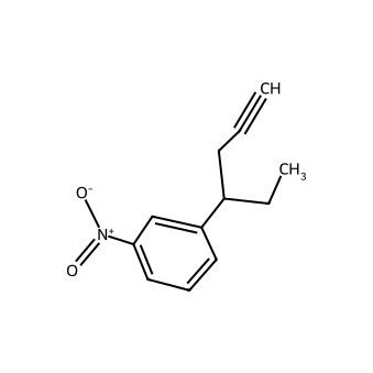 C#CCC(CC)c1cccc([N+](=O)[O-])c1